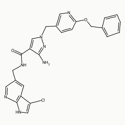 Nc1nn(Cc2ccc(OCc3ccccc3)nc2)cc1C(=O)NCc1cnc2[nH]cc(Cl)c2c1